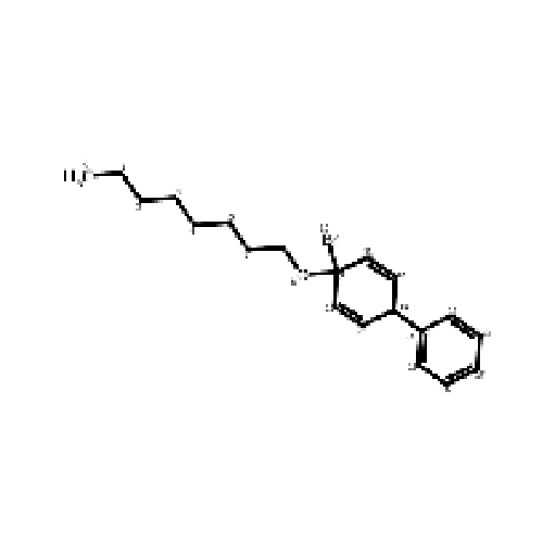 CCCCCCCCOC1(Br)C=CC(c2ccccc2)C=C1